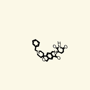 O=C1CCC(N2Cc3cc4c(cc3C2=O)COC42CCN(Cc3ccccc3)CC2)C(=O)N1